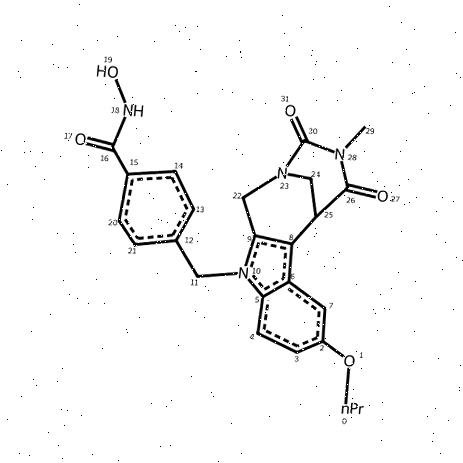 CCCOc1ccc2c(c1)c1c(n2Cc2ccc(C(=O)NO)cc2)CN2CC1C(=O)N(C)C2=O